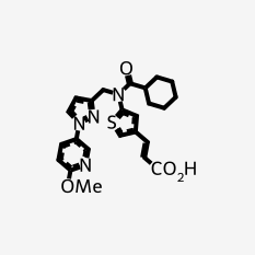 COc1ccc(-n2ccc(CN(C(=O)C3CCCCC3)c3cc(C=CC(=O)O)cs3)n2)cn1